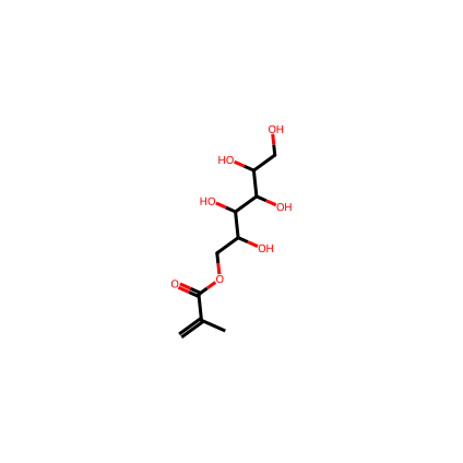 C=C(C)C(=O)OCC(O)C(O)C(O)C(O)CO